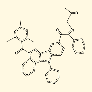 CC(=O)C/N=C(\C(=O)c1ccc2c(c1)c1cc(C(=O)c3c(C)cc(C)cc3C)c3ccccc3c1n2-c1ccccc1)c1ccccc1